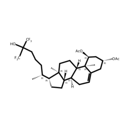 CC(=O)O[C@@H]1CC2=CC[C@H]3[C@@H]4CC[C@H]([C@H](C)CCCC(O)(C(F)(F)F)C(F)(F)F)[C@@]4(C)CC[C@@H]3[C@@]2(C)[C@@H](OC(C)=O)C1